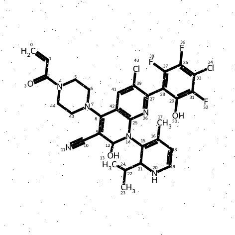 C=CC(=O)N1CCN(C2=C(C#N)C(O)N(C3=C(C)C=CNC3C(C)C)c3nc(-c4c(O)c(F)c(Cl)c(F)c4F)c(Cl)cc32)CC1